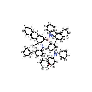 Cc1c2c(cc3cc4ccccc4cc13)B1c3c(cc(N(c4ccccc4)c4ccccc4)cc3N2c2cc(-c3ccccc3)cc(-c3ccccc3)c2)-c2cc3ccccc3c3c4ccccc4n1c23